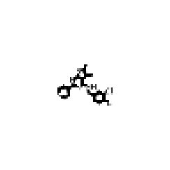 Cc1sc2nc(-c3ccncc3)nc(NCc3ccc(Cl)c(Cl)c3)c2c1C